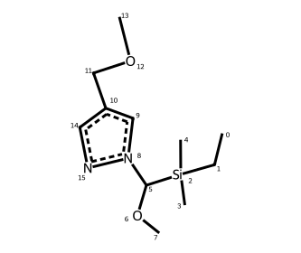 CC[Si](C)(C)C(OC)n1cc(COC)cn1